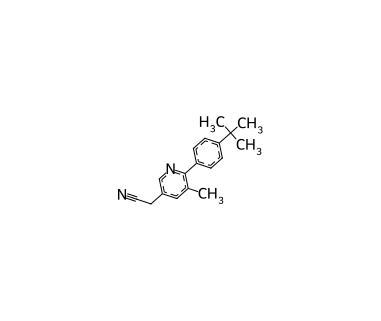 Cc1cc(CC#N)cnc1-c1ccc(C(C)(C)C)cc1